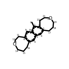 Cc1c2c(cc3cc4c(cc13)CCOCCC4)CCCOCC2